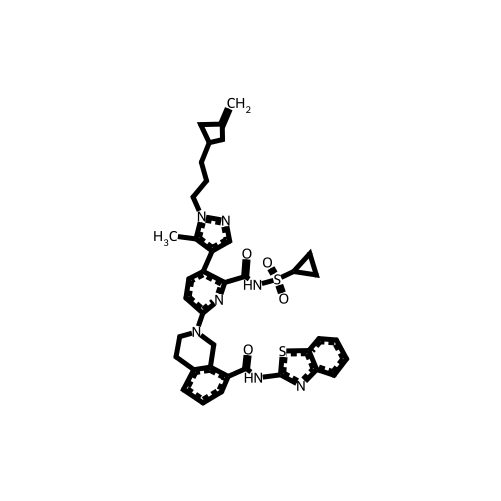 C=C1CC(CCCn2ncc(-c3ccc(N4CCc5cccc(C(=O)Nc6nc7ccccc7s6)c5C4)nc3C(=O)NS(=O)(=O)C3CC3)c2C)C1